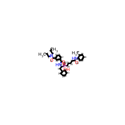 CCCN(CCC)C(=O)c1cccc(C(=O)NC(Cc2ccccc2)P(=O)(O)CCCCC(=O)Nc2ccccc2C)c1